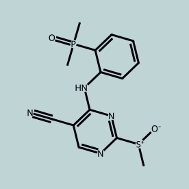 C[S+]([O-])c1ncc(C#N)c(Nc2ccccc2P(C)(C)=O)n1